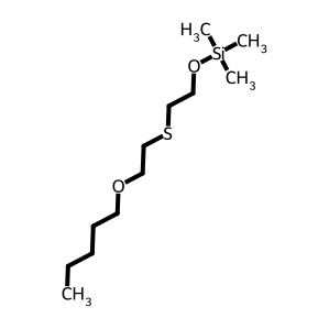 CCCCCOCCSCCO[Si](C)(C)C